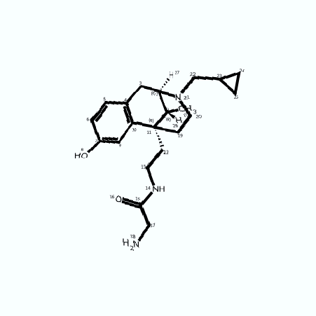 C[C@H]1[C@H]2Cc3ccc(O)cc3[C@]1(CCNC(=O)CN)CCN2CC1CC1